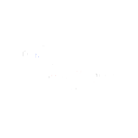 CCCCCOC(=O)/C=C\C(=O)OCCN(CC)CC